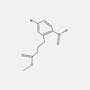 COC(=O)CCCc1cc(Br)ccc1[N+](=O)[O-]